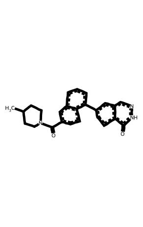 CC1CCN(C(=O)c2ccc3c(-c4ccc5c(=O)[nH]ncc5c4)cccc3c2)CC1